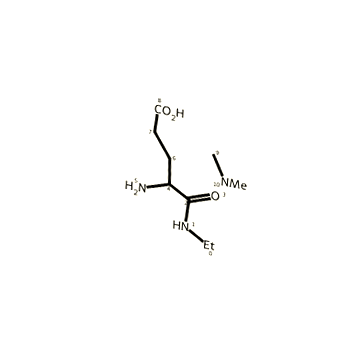 CCNC(=O)C(N)CCC(=O)O.CNC